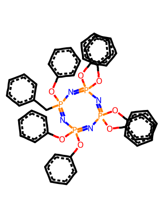 c1ccc(CP2(Oc3ccccc3)=NP(Oc3ccccc3)(Oc3ccccc3)=NP(Oc3ccccc3)(Oc3ccccc3)=NP(Oc3ccccc3)(Oc3ccccc3)=N2)cc1